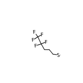 FC(F)(F)C(F)(F)CCC[S]